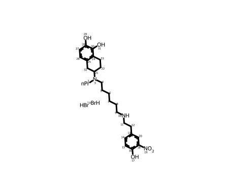 Br.Br.CCCN(CCCCCCNCCc1ccc(O)c([N+](=O)[O-])c1)C1CCc2c(ccc(O)c2O)C1